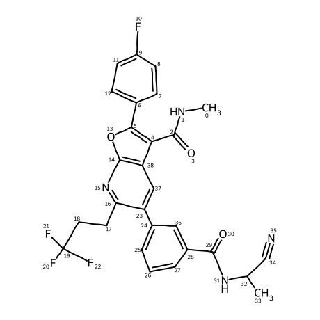 CNC(=O)c1c(-c2ccc(F)cc2)oc2nc(CCC(F)(F)F)c(-c3cccc(C(=O)NC(C)C#N)c3)cc12